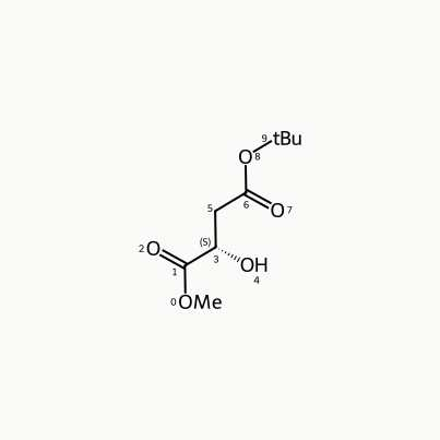 COC(=O)[C@@H](O)CC(=O)OC(C)(C)C